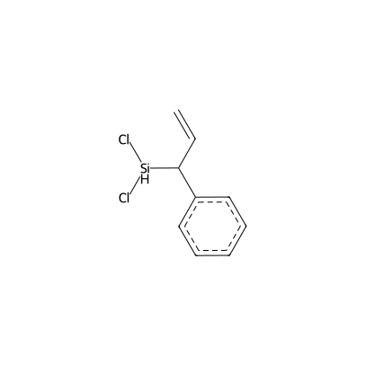 C=CC(c1ccccc1)[SiH](Cl)Cl